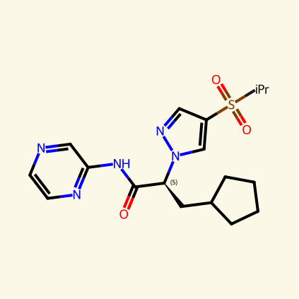 CC(C)S(=O)(=O)c1cnn([C@@H](CC2CCCC2)C(=O)Nc2cnccn2)c1